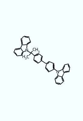 CC(C)(c1ccc(-c2ccc(-n3c4ccccc4c4ccccc43)cc2)cc1)n1c2ccccc2c2ccccc21